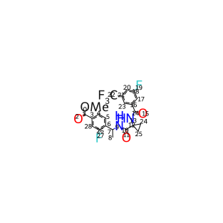 COC(=O)c1ccc(C(C)NC(=O)C2(NC(=O)c3cc(F)cc(C(F)(F)F)c3)CC2)c(F)c1